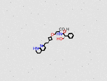 O=C(O)[C@H](CCO[C@H]1C[C@H](CCc2ccc3c(n2)NCCC3)C1)NC(=O)[C@@H](CO)c1ccccc1